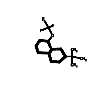 CC(C)(C)c1ccc2cccc(OC(F)(F)F)c2c1